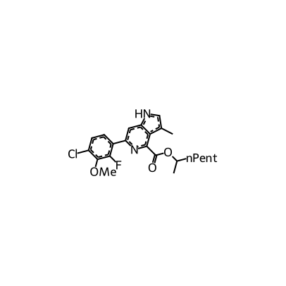 CCCCCC(C)OC(=O)c1nc(-c2ccc(Cl)c(OC)c2F)cc2[nH]cc(C)c12